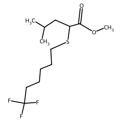 COC(=O)C(CC(C)C)SCCCCCC(F)(F)F